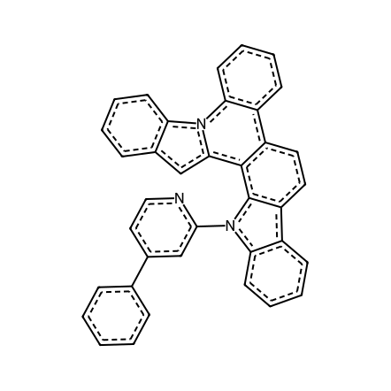 c1ccc(-c2ccnc(-n3c4ccccc4c4ccc5c6ccccc6n6c7ccccc7cc6c5c43)c2)cc1